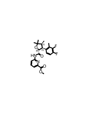 COC(=O)c1cccc(NC(=O)[C@@H]2OC(C)(C)[C@@H](C)[C@H]2c2ccc(F)c(F)c2C)n1